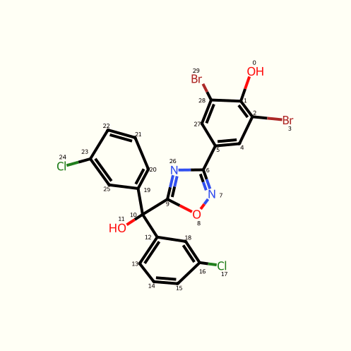 Oc1c(Br)cc(-c2noc(C(O)(c3cccc(Cl)c3)c3cccc(Cl)c3)n2)cc1Br